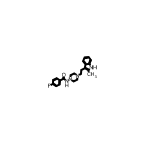 Cc1[nH]c2ccccc2c1CCN1CCN(NC(=O)c2ccc(F)cc2)CC1